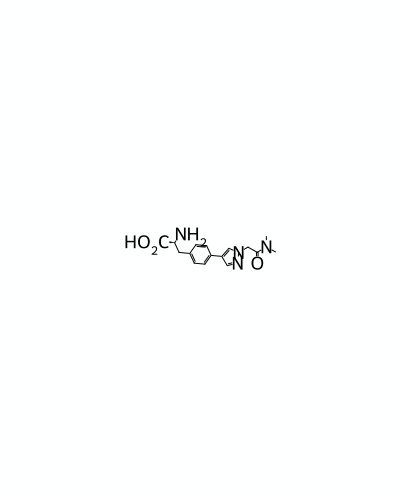 CN(C)C(=O)Cn1cc(-c2ccc(C[C@H](N)C(=O)O)cc2)cn1